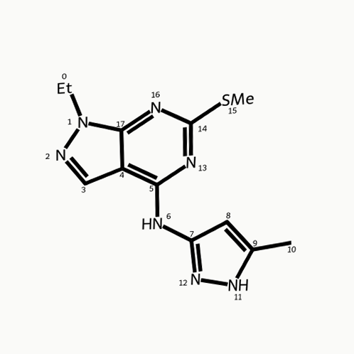 CCn1ncc2c(Nc3cc(C)[nH]n3)nc(SC)nc21